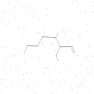 C=CC(CO)C(C)CCCCCCCC